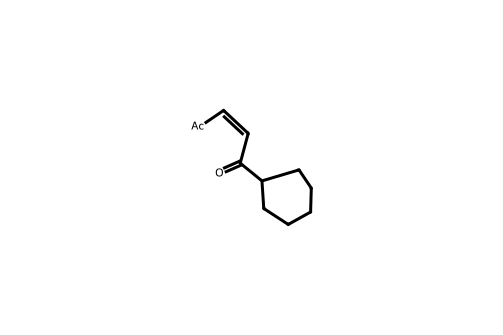 CC(=O)/C=C\C(=O)C1CCCCC1